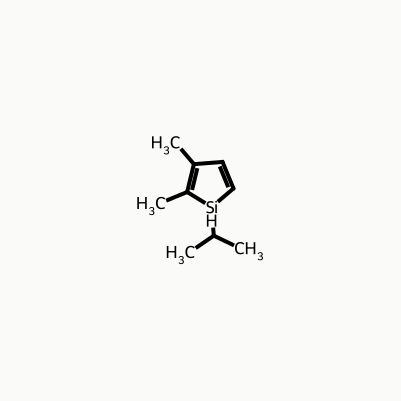 CC1=C(C)[SiH](C(C)C)C=C1